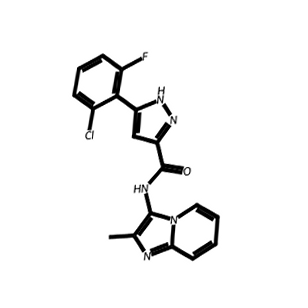 Cc1nc2ccccn2c1NC(=O)c1cc(-c2c(F)cccc2Cl)[nH]n1